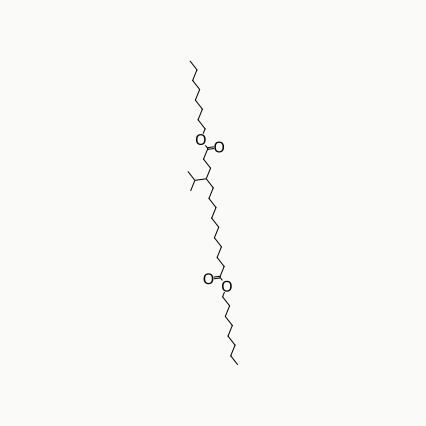 CCCCCCCCOC(=O)CCCCCCCCCC(CCC(=O)OCCCCCCCC)C(C)C